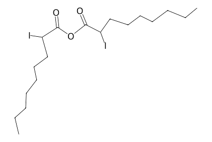 CCCCCCCC(I)C(=O)OC(=O)C(I)CCCCCCC